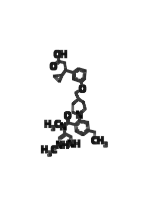 CCc1ccc(C(=O)N(C)/C(C=N)=C/NC)c(N2CCC(COc3cccc(C(CC(=O)O)C4CC4)c3)CC2)c1